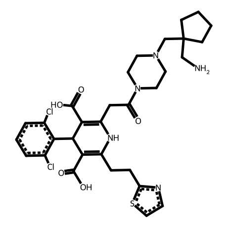 NCC1(CN2CCN(C(=O)CC3=C(C(=O)O)C(c4c(Cl)cccc4Cl)C(C(=O)O)=C(CCc4nccs4)N3)CC2)CCCC1